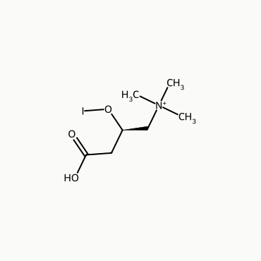 C[N+](C)(C)C[C@@H](CC(=O)O)OI